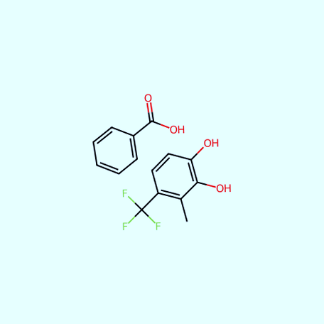 Cc1c(C(F)(F)F)ccc(O)c1O.O=C(O)c1ccccc1